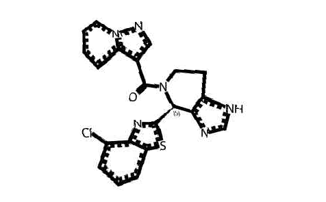 O=C(c1cnn2ccccc12)N1CCc2[nH]cnc2[C@H]1c1nc2c(Cl)cccc2s1